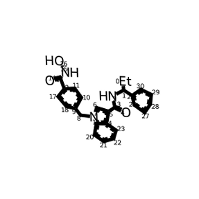 CCC(NC(=O)c1cn(Cc2ccc(C(=O)NO)cc2)c2ccccc12)c1ccccc1